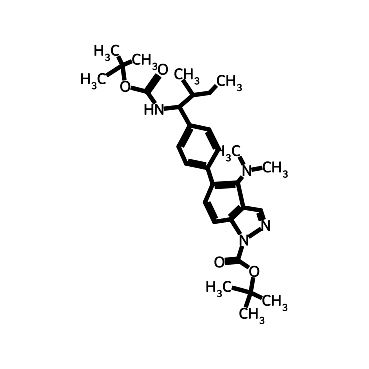 CCC(C)C(NC(=O)OC(C)(C)C)c1ccc(-c2ccc3c(cnn3C(=O)OC(C)(C)C)c2N(C)C)cc1